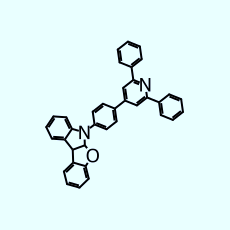 c1ccc(-c2cc(-c3ccc(N4c5ccccc5C5c6ccccc6OC54)cc3)cc(-c3ccccc3)n2)cc1